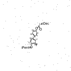 CCCCCCCCCCCC(=O)Oc1ccc(-c2ccc(O[C@@H](C)CCC)c(F)c2)cc1